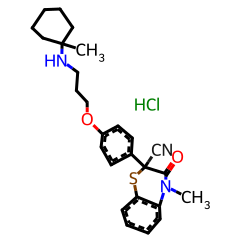 CN1C(=O)C(C#N)(c2ccc(OCCCNC3(C)CCCCC3)cc2)Sc2ccccc21.Cl